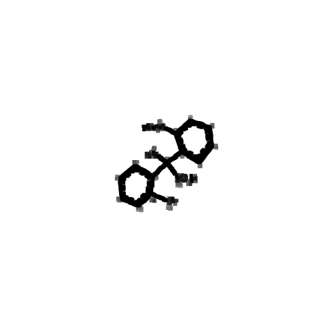 CCCCCCCc1ccccc1C(CCC)(c1ccccc1C(C)C)S(=O)(=O)O